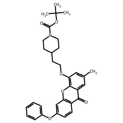 Cc1cc(OCCC2CCN(C(=O)OC(C)(C)C)CC2)c2oc3cc(Oc4ccccc4)ccc3c(=O)c2c1